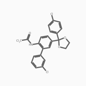 O=C(Nc1ccc(C2(c3ccc(Cl)cc3)OCCO2)cc1-c1cccc(Cl)c1)C(Cl)(Cl)Cl